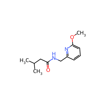 COc1cccc(CNC(=O)CC(C)C)n1